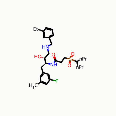 CCCC(CCC)S(=O)(=O)CCC(=O)N[C@@H](Cc1cc(C)cc(F)c1)[C@H](O)CNCc1cccc(CC)c1